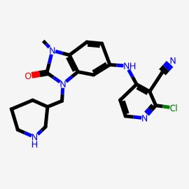 Cn1c(=O)n(CC2CCCNC2)c2cc(Nc3ccnc(Cl)c3C#N)ccc21